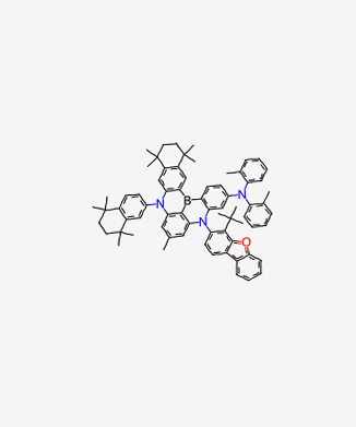 Cc1cc2c3c(c1)N(c1ccc4c(oc5ccccc54)c1C(C)(C)C)c1cc(N(c4ccccc4C)c4ccccc4C)ccc1B3c1cc3c(cc1N2c1ccc2c(c1)C(C)(C)CCC2(C)C)C(C)(C)CCC3(C)C